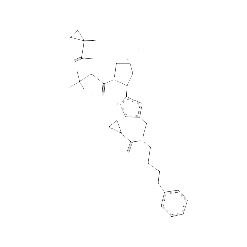 CC(C)(C)[C@H](NC(=O)C1(F)CC1)C(=O)N1C[C@H](O)C[C@H]1c1nc(CN(CCCCc2ccccc2)C(=O)C2CC2)c[nH]1